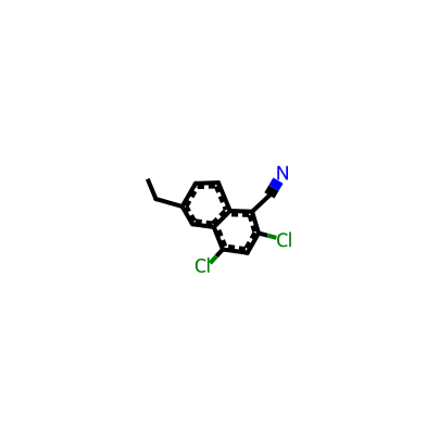 CCc1ccc2c(C#N)c(Cl)cc(Cl)c2c1